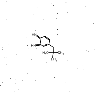 CC(C)(C)CC1=CC(=N)C(=N)C=C1